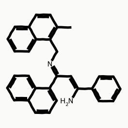 Cc1ccc2ccccc2c1C/N=C(\C=C(/N)c1ccccc1)c1cccc2ccccc12